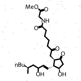 CCCC[C@H](C)CC(O)/C=C/[C@H]1[C@H](O)CC(=O)[C@@H]1CC(=O)CCCCC(=O)NCC(=O)OC